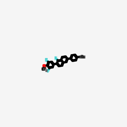 CCCCc1ccc(-c2ccc3c(F)c(-c4cc(F)c(OC(F)(F)F)c(F)c4)ccc3c2)cc1